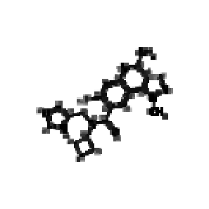 Cn1ncc2c(N)nc3cc(F)c(C(=O)N(Cc4cocn4)C4CCC4)cc3c21